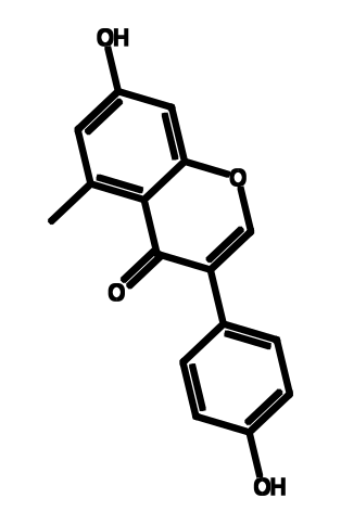 Cc1cc(O)cc2occ(-c3ccc(O)cc3)c(=O)c12